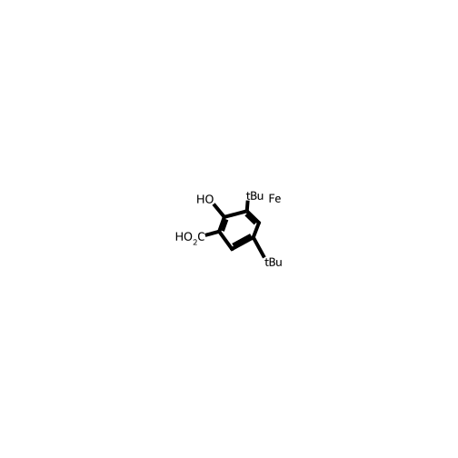 CC(C)(C)c1cc(C(=O)O)c(O)c(C(C)(C)C)c1.[Fe]